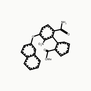 COC(=O)c1ccccc1-c1c(C(N)=O)ccc(Oc2ccc3ccccc3c2)c1[N+](=O)[O-]